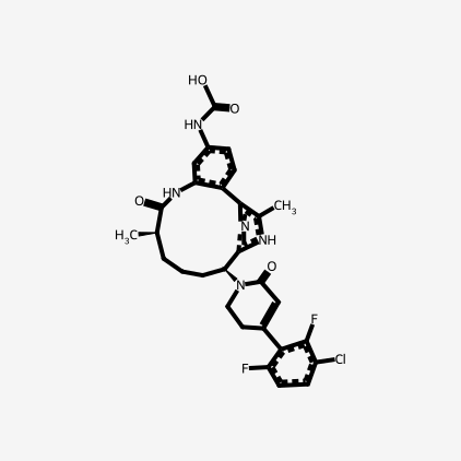 Cc1[nH]c2nc1-c1ccc(NC(=O)O)cc1NC(=O)[C@H](C)CCC[C@@H]2N1CCC(c2c(F)ccc(Cl)c2F)=CC1=O